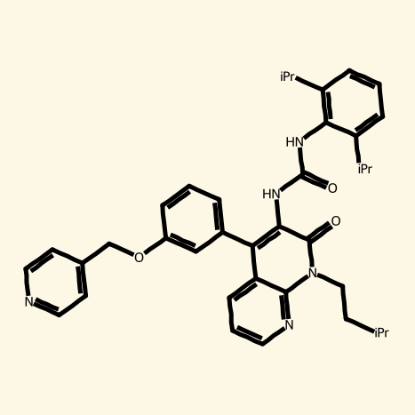 CC(C)CCn1c(=O)c(NC(=O)Nc2c(C(C)C)cccc2C(C)C)c(-c2cccc(OCc3ccncc3)c2)c2cccnc21